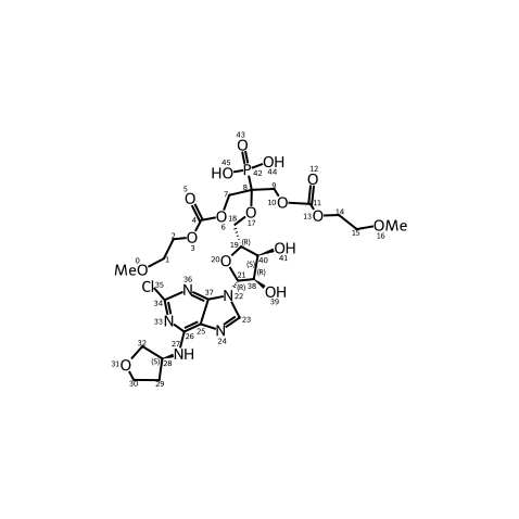 COCCOC(=O)OCC(COC(=O)OCCOC)(OC[C@H]1O[C@@H](n2cnc3c(N[C@H]4CCOC4)nc(Cl)nc32)[C@H](O)[C@@H]1O)P(=O)(O)O